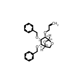 C=CCO[C@H]1[C@@H]2OC[C@@H](O2)[C@H](OCc2ccccc2)[C@@H]1OCc1ccccc1